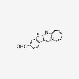 O=Cc1ccc2c3c(sc2c1)=NC1=CC=CC=CN1C=3